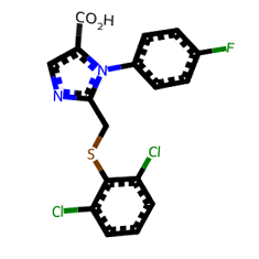 O=C(O)c1cnc(CSc2c(Cl)cccc2Cl)n1-c1ccc(F)cc1